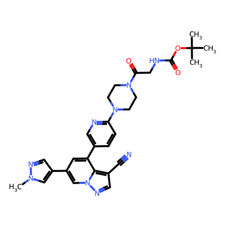 Cn1cc(-c2cc(-c3ccc(N4CCN(C(=O)CNC(=O)OC(C)(C)C)CC4)nc3)c3c(C#N)cnn3c2)cn1